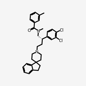 Cc1cccc(C(=O)N(C)C[C@@H](CCN2CCC3(CCc4ccccc43)CC2)c2ccc(Cl)c(Cl)c2)c1